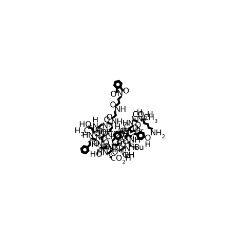 CC[C@H](C)[C@H](NC(=O)[C@H](CO)NC(=O)[C@H](Cc1ccc(O)cc1)NC(=O)[C@H](CC(=O)O)NC(=O)[C@H](CO)NC(=O)[C@@H](NC(=O)[C@H](CCc1ccccc1)NC(=O)[C@@H](NC(=O)CNC(=O)[C@H](CCC(=O)O)NC(=O)CCNC(=O)CCCN1C(=O)c2ccccc2C1=O)[C@@H](C)O)[C@@H](C)O)C(=O)N[C@@H](Cc1ccc(O)cc1)C(=O)N[C@@](C)(CC(C)C)C(=O)N[C@@H](CC(=O)O)C(=O)N[C@H](C)CCCCN